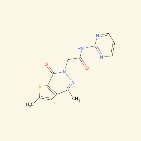 Cc1cc2c(C)nn(CC(=O)Nc3ncccn3)c(=O)c2s1